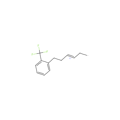 [CH2]C/C=C/CCc1ccccc1C(F)(F)F